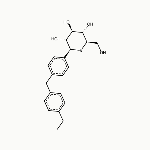 CCc1ccc(Cc2ccc([C@@H]3S[C@H](CO)[C@@H](O)[C@H](O)[C@H]3O)cc2)cc1